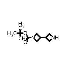 CC(C)(C)OC(=O)N1CC(C2CNC2)C1